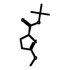 COC1=N[C@H](C(=O)OC(C)(C)C)CC1